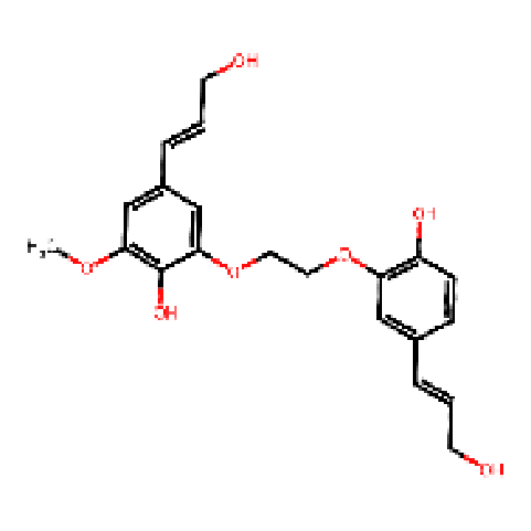 COc1cc(/C=C/CO)cc(OCCOc2cc(/C=C/CO)ccc2O)c1O